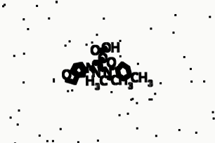 CC(C)N(c1nn(-c2ccc3c(c2)CCO3)cc1OC(=O)O)C(=O)[C@H]1CC[C@H](C)CC1